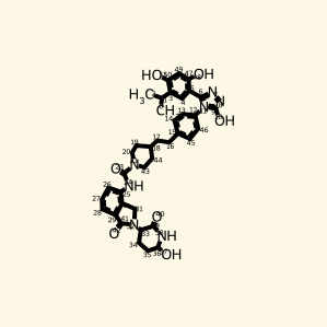 CC(C)c1cc(-c2nnc(O)n2-c2ccc(CCC3CCN(C(=O)Nc4cccc5c4CN(C4CCC(O)NC4=O)C5=O)CC3)cc2)c(O)cc1O